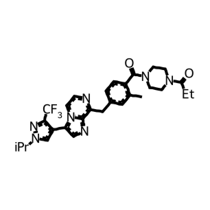 CCC(=O)N1CCN(C(=O)c2ccc(Cc3nccn4c(-c5cn(C(C)C)nc5C(F)(F)F)cnc34)cc2C)CC1